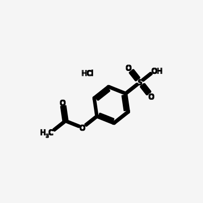 CC(=O)Oc1ccc(S(=O)(=O)O)cc1.Cl